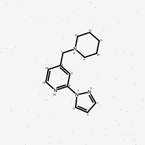 [c]1cnn(-c2cc(CN3CCCCC3)ccn2)c1